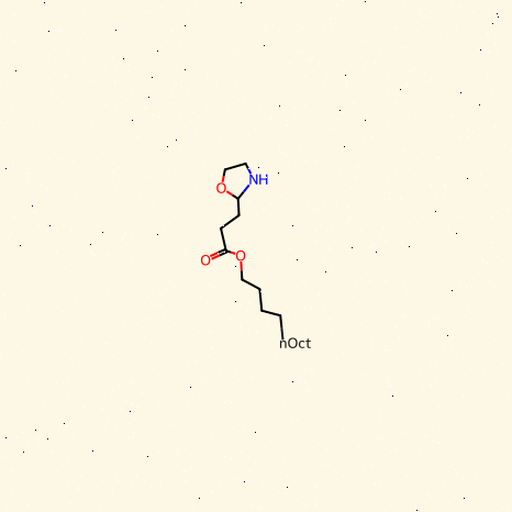 CCCCCCCCCCCCOC(=O)CCC1NCCO1